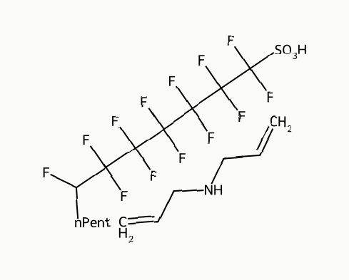 C=CCNCC=C.CCCCCC(F)C(F)(F)C(F)(F)C(F)(F)C(F)(F)C(F)(F)C(F)(F)S(=O)(=O)O